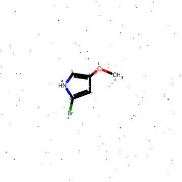 COc1c[nH]c(Br)c1